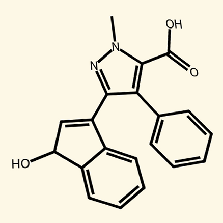 Cn1nc(C2=CC(O)c3ccccc32)c(-c2ccccc2)c1C(=O)O